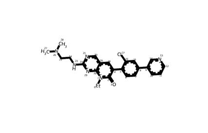 CCn1c(=O)c(-c2ccc(-c3cccnc3)cc2Cl)cc2cnc(NCCN(C)C)nc21